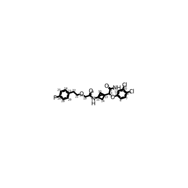 NC(=O)C(Oc1ccc(Cl)c(Cl)c1)C12CC(NC(=O)COCCc3ccc(F)cc3)(C1)C2